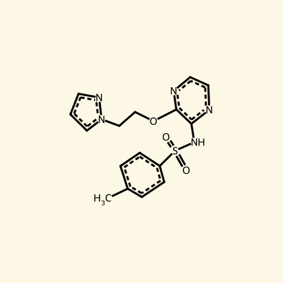 Cc1ccc(S(=O)(=O)Nc2nccnc2OCCn2cccn2)cc1